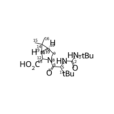 CC(C)(C)NC(=O)NC(C(=O)N1C[C@H]2[C@@H](C1C(=O)O)C2(C)C)C(C)(C)C